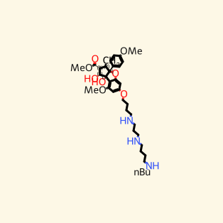 CCCCNCCCCNCCCNCCCCOc1cc(OC)c2c(c1)O[C@@]1(c3ccc(OC)cc3)[C@H](C)[C@@H](C(=O)OC)[C@@H](O)[C@@]21O